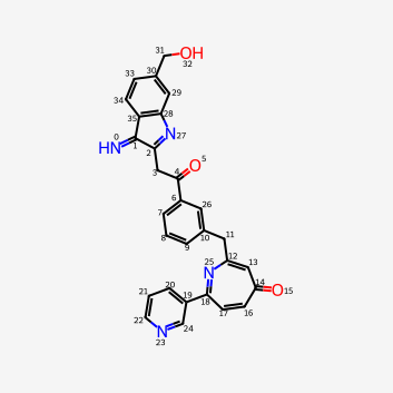 N=C1C(CC(=O)c2cccc(Cc3cc(=O)ccc(-c4cccnc4)n3)c2)=Nc2cc(CO)ccc21